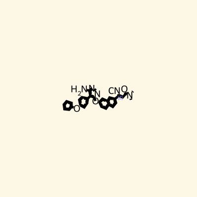 CN(C)C(=O)/C=C(\C#N)c1ccc2ccc(Oc3ncnc(N)c3-c3ccc(Oc4ccccc4)cc3)cc2c1